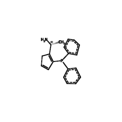 C[C@@H](N)C1=C(P(c2ccccc2)c2ccccc2)C=CC1